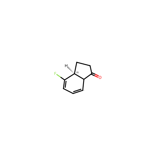 O=C1CC[C@@H]2C(F)=CC=[C]C12